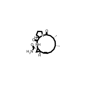 C[C@@H]1CC/C=C\[C@@H]2C[C@@]2(C(N)=O)NC(=O)[C@@H]2CCCN2C(=O)C[C@H](C)C1